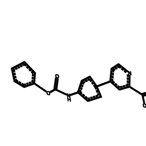 COC(=O)c1cc(-c2ccc(NC(=O)Oc3ccccc3)cc2)ccn1